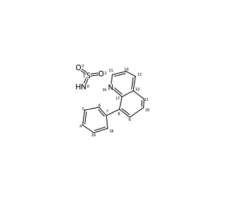 N=S(=O)=O.c1ccc(-c2cccc3cccnc23)cc1